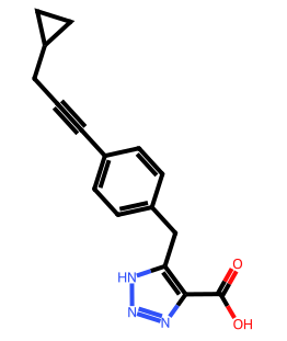 O=C(O)c1nn[nH]c1Cc1ccc(C#CCC2CC2)cc1